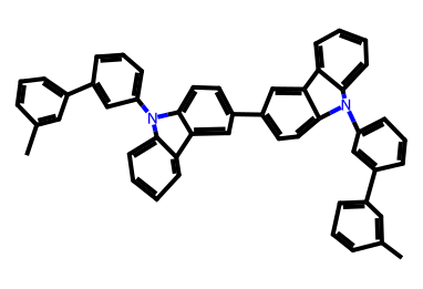 Cc1cccc(-c2cccc(-n3c4ccccc4c4cc(-c5ccc6c(c5)c5ccccc5n6-c5cccc(-c6cccc(C)c6)c5)ccc43)c2)c1